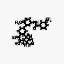 CCN1c2ncc(-c3cc(NC(=O)c4cccc(C(F)(F)F)c4)cnc3C)cc2[C@H]2[C@@H]3COC[C@@H]3[C@H]2C1O